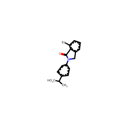 CCc1cccc2c1C(=O)N(c1ccc(C(C)C(=O)O)cc1)C2